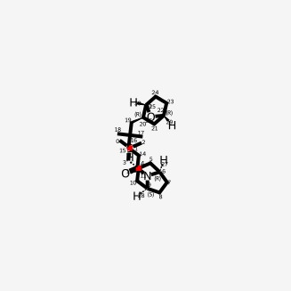 C[SH](C)C[C@@H]1C[C@H]2CC[C@@H](C1)N2C(=O)CCC(C)(C)C[C@@H]1C[C@H]2CC[C@@H]1O2